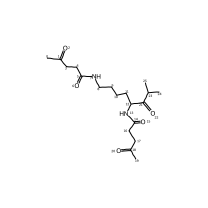 CC(=O)CCC(=O)NCCCCC(NC(=O)CCC(C)=O)C(=O)C(C)C